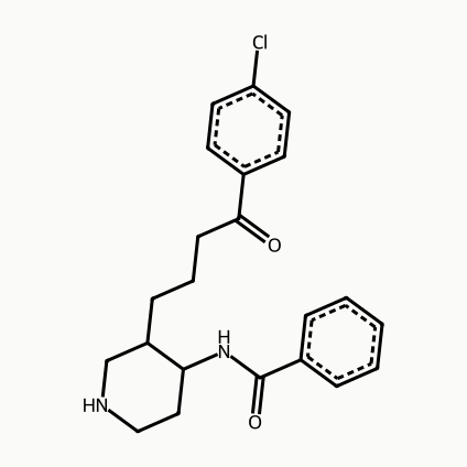 O=C(CCCC1CNCCC1NC(=O)c1ccccc1)c1ccc(Cl)cc1